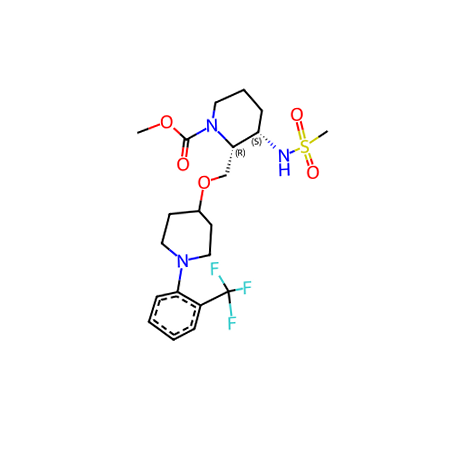 COC(=O)N1CCC[C@H](NS(C)(=O)=O)[C@@H]1COC1CCN(c2ccccc2C(F)(F)F)CC1